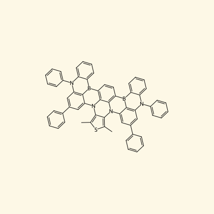 Cc1sc(C)c2c1N1c3cc(-c4ccccc4)cc4c3B(c3ccccc3N4c3ccccc3)c3ccc4c(c31)N2c1cc(-c2ccccc2)cc2c1B4c1ccccc1N2c1ccccc1